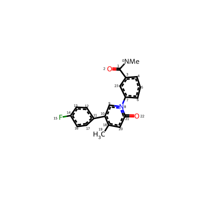 CNC(=O)c1cccc(-n2cc(-c3ccc(F)cc3)c(C)cc2=O)c1